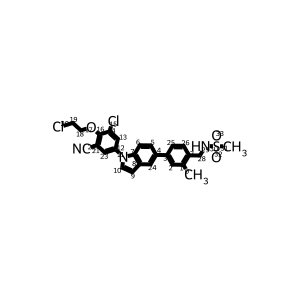 Cc1cc(-c2ccc3c(ccn3-c3cc(Cl)c(OCCCl)c(C#N)c3)c2)ccc1CNS(C)(=O)=O